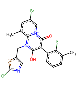 Cc1cc(Br)c[n+]2c(=O)c(-c3cccc(C(F)(F)F)c3F)c(O)n(Cc3cnc(Cl)s3)c12